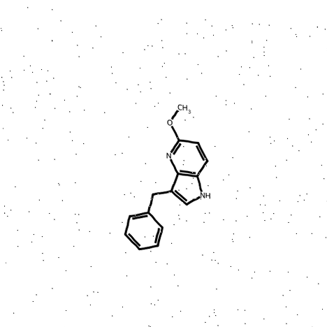 COc1ccc2[nH]cc(Cc3ccccc3)c2n1